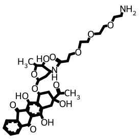 CC(=O)C1(O)Cc2c(O)c3c(c(O)c2C(OC2CC(NC(=O)CCOCCOCCOCCN)C(O)C(C)O2)C1)C(=O)c1ccccc1C3=O